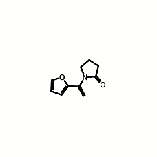 C=C(c1ccco1)N1CCCC1=O